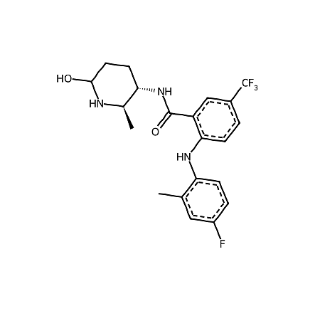 Cc1cc(F)ccc1Nc1ccc(C(F)(F)F)cc1C(=O)N[C@H]1CCC(O)N[C@@H]1C